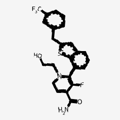 NC(=O)C1=CCN(CCO)C(c2cccc3cc(Cc4cccc(C(F)(F)F)c4)sc23)=C1F